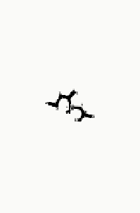 C=C(CCC)N(C)CC(C)C